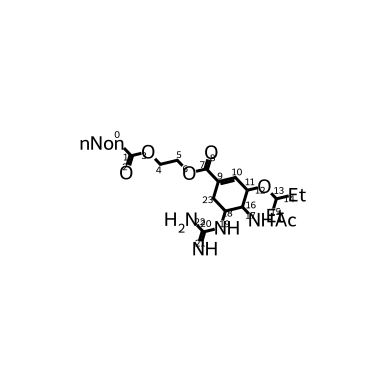 CCCCCCCCCC(=O)OCCOC(=O)C1=CC(OC(CC)CC)C(NC(C)=O)C(NC(=N)N)C1